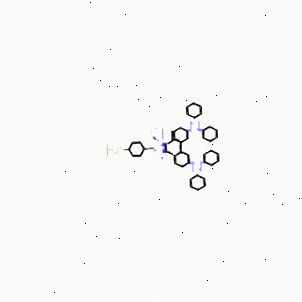 Cn1c(-c2ccc(Br)cc2)nc2c3ccc(N(c4ccccc4)c4ccccc4)cc3c3cc(N(c4ccccc4)c4ccccc4)ccc3c21